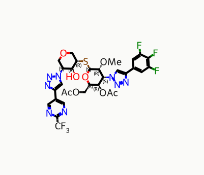 CO[C@@H]1[C@@H](n2cc(-c3cc(F)c(F)c(F)c3)nn2)[C@@H](OC(C)=O)[C@@H](COC(C)=O)O[C@H]1S[C@@H]1COC[C@H](n2cc(-c3cnc(C(F)(F)F)nc3)nn2)[C@H]1O